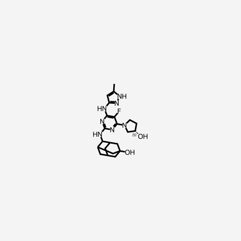 Cc1cc(Nc2nc(NC3C4CC5CC3CC(O)(C5)C4)nc(N3CC[C@H](O)C3)c2F)n[nH]1